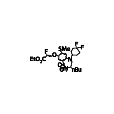 CCCCC1CN(C2CCC(F)(F)CC2)c2cc(SC)c(O/C=C(\F)C(=O)OCC)cc2S(=O)(=O)N1C